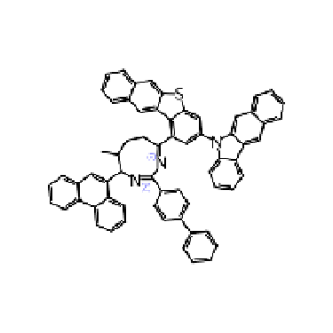 CC1CC/C(c2cc(-n3c4ccccc4c4cc5ccccc5cc43)cc3sc4cc5ccccc5cc4c23)=N\C(c2ccc(-c3ccccc3)cc2)=N/C1c1cc2ccccc2c2ccccc12